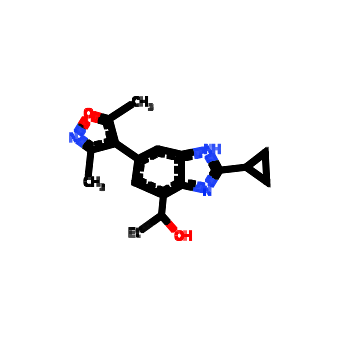 CCC(O)c1cc(-c2c(C)noc2C)cc2[nH]c(C3CC3)nc12